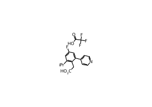 CC(C)c1cc(F)cc(-c2ccncc2)c1CC(=O)O.O=C(O)C(F)(F)F